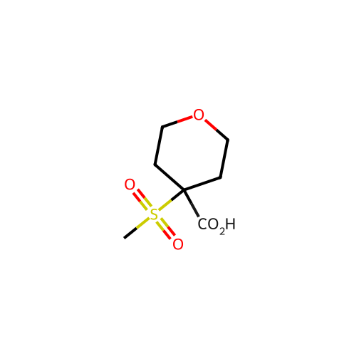 CS(=O)(=O)C1(C(=O)O)CCOCC1